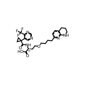 O=C(O)[C@H](CCOCCCCc1ccc2c(n1)NCCC2)NC(=O)C1(c2cncnc2C(F)(F)F)CC1